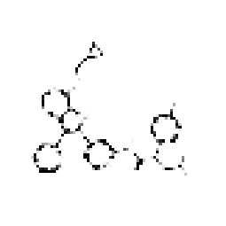 O=C(Nc1cc(-c2[nH]c3c(OCC4CC4)ncnc3c2-c2ccccn2)ccn1)C(CC(F)F)c1ccc(F)cc1